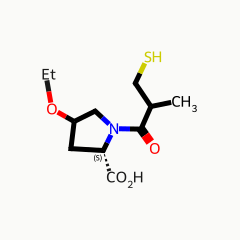 CCOC1C[C@@H](C(=O)O)N(C(=O)C(C)CS)C1